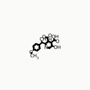 COc1ccc(C(C)c2ncc(O)c(C(=O)O)c2C(=O)O)cc1